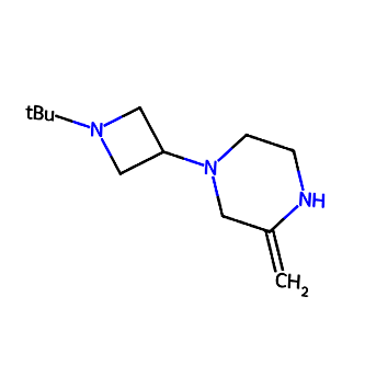 C=C1CN(C2CN(C(C)(C)C)C2)CCN1